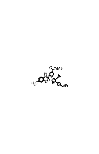 COC(=O)[C@@H]1C[C@H](C(=O)Nc2ccc(C)cc2Cl)[C@@H](c2noc(C3CC(CC(C)C)C3)c2C2CC2)C1